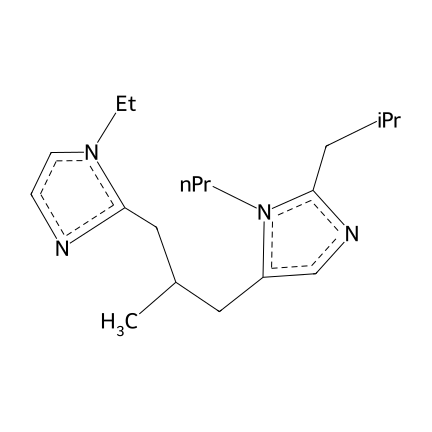 CCCn1c(CC(C)Cc2nccn2CC)cnc1CC(C)C